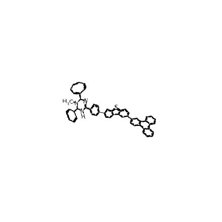 CN1C(C2=CCC=CC=C2)N=C(c2ccc(-c3ccc4c(c3)sc3ccc(-c5ccc6c7ccccc7c7ccccc7c6c5)cc34)cc2)NC1C1C=C=CC=C1